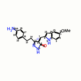 COc1ccc2[nH]c(/C=C3\C(=O)NN=C3CCc3ccc(N)cc3)cc2c1